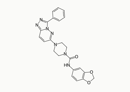 O=C(Nc1ccc2c(c1)OCO2)N1CCN(c2ccc3nnc(-c4ccccc4)n3n2)CC1